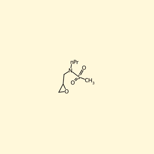 CCCN(CC1CO1)S(C)(=O)=O